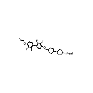 C/C=C/Oc1ccc(-c2ccc(OCC3CCC(C4CCC(CCCCC)CC4)CC3)c(F)c2F)c(F)c1F